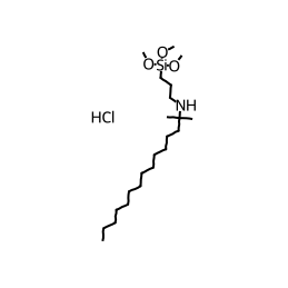 CCCCCCCCCCCCCC(C)(C)NCCC[Si](OC)(OC)OC.Cl